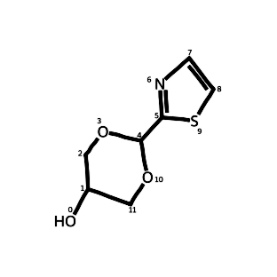 OC1COC(c2nccs2)OC1